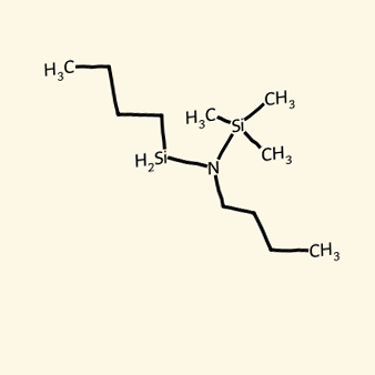 CCCC[SiH2]N(CCCC)[Si](C)(C)C